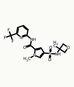 Cn1cc(S(=O)(=O)NC2(C)COC2)cc1C(=O)Nc1cccc(C(F)(F)F)n1